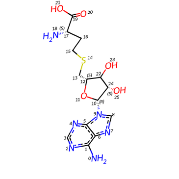 Nc1ncnc2c1ncn2[C@@H]1O[C@H](CSCC[C@H](N)C(=O)O)C(O)[C@@H]1O